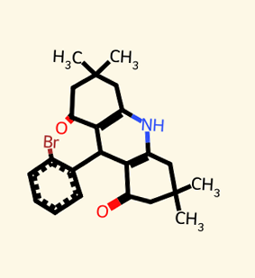 CC1(C)CC(=O)C2=C(C1)NC1=C(C(=O)CC(C)(C)C1)C2c1ccccc1Br